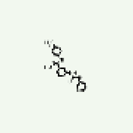 Cc1ccc(NC(=NO)c2cccc(NC(=O)Nc3cncnc3)c2)cc1